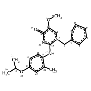 COc1cn(Cc2ccccc2)c(Nc2ccc(OC(C)C)cc2C)nc1=O